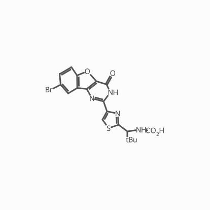 CC(C)(C)C(NC(=O)O)c1nc(-c2nc3c(oc4ccc(Br)cc43)c(=O)[nH]2)cs1